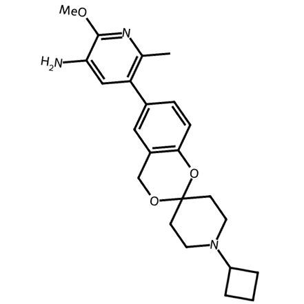 COc1nc(C)c(-c2ccc3c(c2)COC2(CCN(C4CCC4)CC2)O3)cc1N